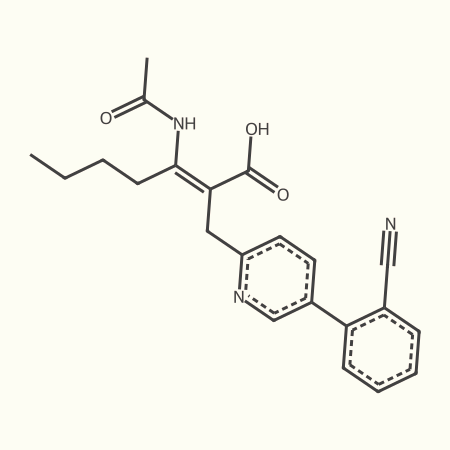 CCCC/C(NC(C)=O)=C(\Cc1ccc(-c2ccccc2C#N)cn1)C(=O)O